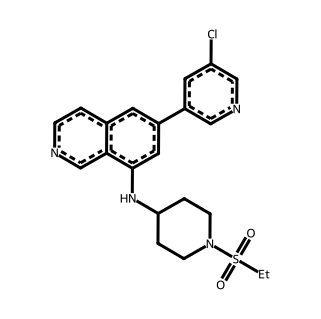 CCS(=O)(=O)N1CCC(Nc2cc(-c3cncc(Cl)c3)cc3ccncc23)CC1